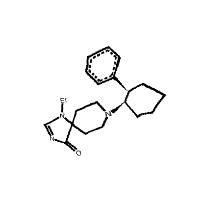 CCN1C=NC(=O)C12CCN([C@@H]1CCCC[C@@H]1c1ccccc1)CC2